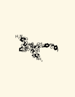 CN(CC(=O)OC1C(O)[C@H](n2cnc3c(N)ncnc32)O[C@@H]1COP(=O)(O)O[C@H]1[C@@H](OC2CCCO2)[C@H](n2ccc(N)nc2=O)O[C@@H]1COP(=O)(O)O)C(=O)OCc1ccc(NC(=O)Cc2ccc(F)cc2)cc1